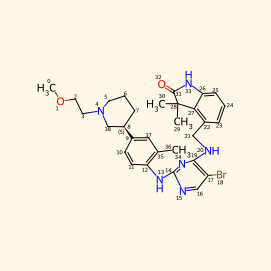 COCCN1CCC[C@@H](c2ccc(Nc3ncc(Br)c(NCc4cccc5c4C(C)(C)C(=O)N5)n3)c(C)c2)C1